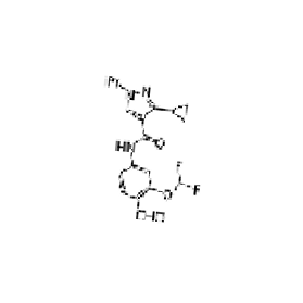 CC(C)n1cc(C(=O)Nc2ccc(C=O)c(OC(F)F)c2)c(C2CC2)n1